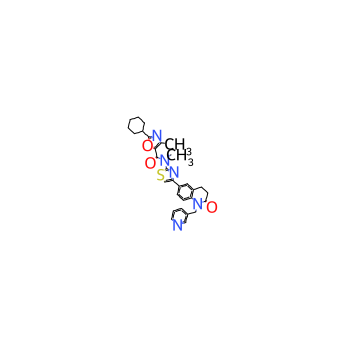 Cc1nc(C2CCCCC2)oc1C(=O)N(C)c1nc(-c2ccc3c(c2)CCC(=O)N3Cc2cccnc2)cs1